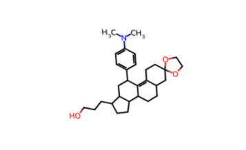 CN(C)c1ccc(C2CC3C(CCCO)CCC3C3CCC4CC5(CCC4=C23)OCCO5)cc1